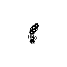 C[C@H]1CC[C@H]2C(CC[C@@H]3C2CC[C@@]2(C)C3CCC[C@@H]2CNC(=O)c2cccnc2)C1